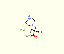 COC(=O)C(C)(C)CN1CCNCC1.Cl